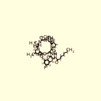 CCCC/C=C/C(=O)N[C@@H](Cc1cc(F)cc(F)c1)C(=O)N[C@H]1COC(=O)[C@@H]2C[C@@H](C)CN2C(=O)[C@H](C)NC(=O)[C@H](C)N(C)C(=O)[C@@H]2CCCN2C1=O